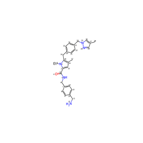 CCn1c(C(=O)NCc2ccc(CN)cc2)cc(C)c1Cc1ccc(Cn2cc(C)cn2)cc1